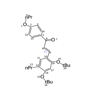 CCCOc1ccc(C(=O)/C=C/c2cc(CCC)c(OC(C)(C)C)cc2OC(C)(C)C)cc1